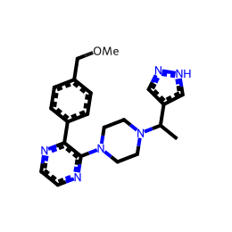 COCc1ccc(-c2nccnc2N2CCN(C(C)c3cn[nH]c3)CC2)cc1